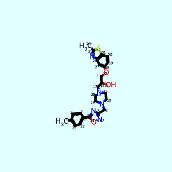 Cc1ccc(-c2nc(CN3CCN(CC(O)COc4ccc5sc(C)nc5c4)CC3)no2)cc1